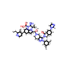 CCc1nccc(-c2ccc3c(c2)cc(C(=O)N2CCc4nn(-c5cc(C)cc(C)c5)c(N5Cc6ccc(-n7ccnc7)cc6C5=O)c4C2)n3[C@@]2(C(=N)NC(=O)O)C[C@@H]2C)c1C